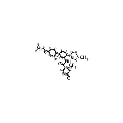 CN1CCN(c2ccc(-c3ccc(OCC4CC4)nc3F)cc2NC(=O)c2c[nH]c(=O)cc2C(F)(F)F)CC1